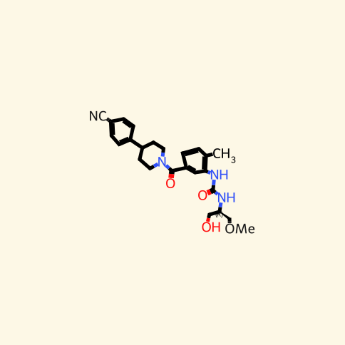 COC[C@@H](CO)NC(=O)Nc1cc(C(=O)N2CCC(c3ccc(C#N)cc3)CC2)ccc1C